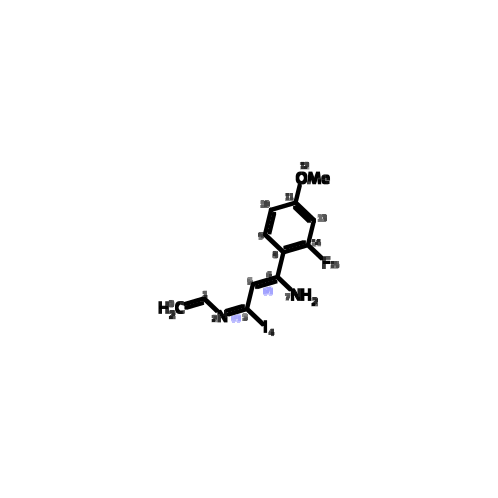 C=C/N=C(I)\C=C(/N)c1ccc(OC)cc1F